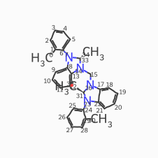 Cc1ccccc1N1c2ccccc2N(CN2c3ccccc3N(c3ccccc3C)[C@H]2C)[C@H]1C